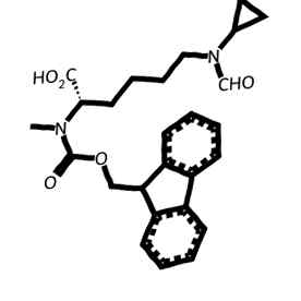 CN(C(=O)OCC1c2ccccc2-c2ccccc21)[C@@H](CCCCN(C=O)C1CC1)C(=O)O